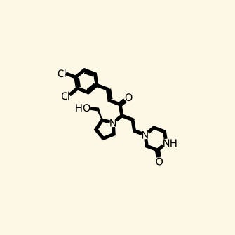 O=C1CN(CCC(C(=O)/C=C/c2ccc(Cl)c(Cl)c2)N2CCC[C@H]2CO)CCN1